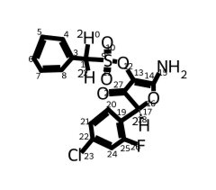 [2H]C([2H])(c1ccccc1)S(=O)(=O)OC1=C(N)O[C@@]([2H])(c2ccc(Cl)cc2F)C1=O